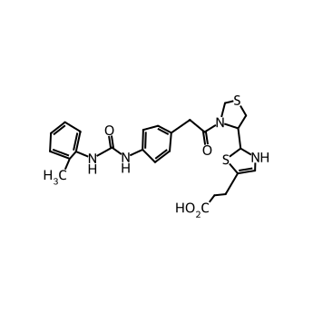 Cc1ccccc1NC(=O)Nc1ccc(CC(=O)N2CSCC2C2NC=C(CCC(=O)O)S2)cc1